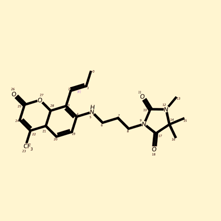 C/C=C/C1=C(NCCCN2C(=O)N(C)C(C)(C)C2=O)C=CC2C(C(F)(F)F)=CC(=O)OC12